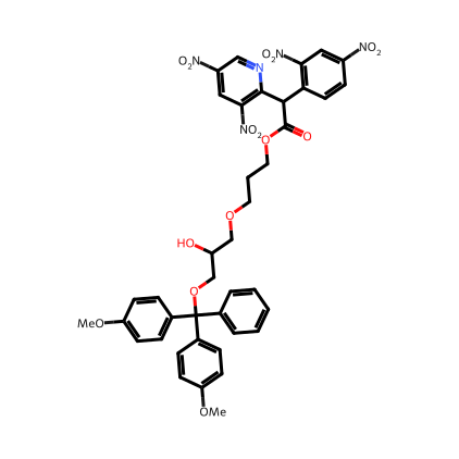 COc1ccc(C(OCC(O)COCCCOC(=O)C(c2ccc([N+](=O)[O-])cc2[N+](=O)[O-])c2ncc([N+](=O)[O-])cc2[N+](=O)[O-])(c2ccccc2)c2ccc(OC)cc2)cc1